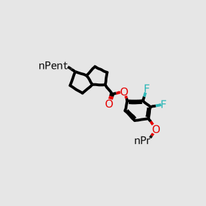 CCCCCC1CCC2C(C(=O)Oc3ccc(OCCC)c(F)c3F)CCC12